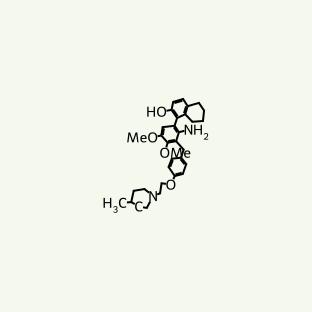 COc1cc(-c2c(O)ccc3c2CCCC3)c(N)c(Cc2ccc(OCCN3CCC(C)CC3)cc2)c1OC